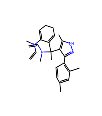 C=CN(C)C1=CCCC=C1C(C)(c1c(-c2ccc(C)cc2C)n[nH]c1C)N(C)C=C